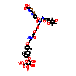 CC1=C(C)C(=O)C(C(C)(C)CC(=O)N(C)CCN(CCOCCOCCC(=O)NCCCOc2ccc([C@H]3CC[C@]4(C)[C@@H](OC5O[C@@H](C(=O)O)C(O)[C@@H](O)[C@@H]5O)CC[C@H]4[C@@H]3C)c(C)c2)C(=O)Oc2ccc3nc(C4=NC(C(=O)O)CS4)sc3c2)=C(C)C1=O